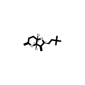 C=C1CC[C@@H]2O[C@@H](CCC(C)(C)C)C(=C)[C@@H]2O1